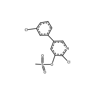 CS(=O)(=O)Oc1cc(-c2cccc(Cl)c2)cnc1Cl